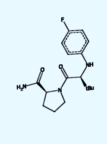 CC(C)(C)[C@H](Nc1ccc(F)cc1)C(=O)N1CCC[C@H]1C(N)=O